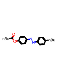 CCCCC(=O)Oc1ccc(N=Nc2ccc(CCCC)cc2)cc1